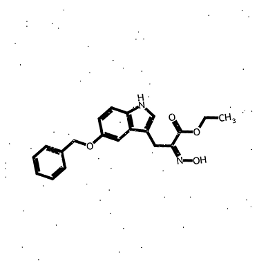 CCOC(=O)/C(Cc1c[nH]c2ccc(OCc3ccccc3)cc12)=N\O